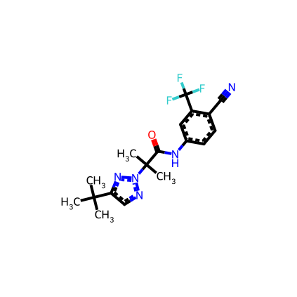 CC(C)(C)c1cnn(C(C)(C)C(=O)Nc2ccc(C#N)c(C(F)(F)F)c2)n1